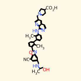 Cc1c(Nc2nccc3cc(CN4CCC(C(=O)O)CC4)cnc23)cccc1-c1cccc(-c2nc3cc(CN[C@@H](C)CO)cc(C#N)c3o2)c1C